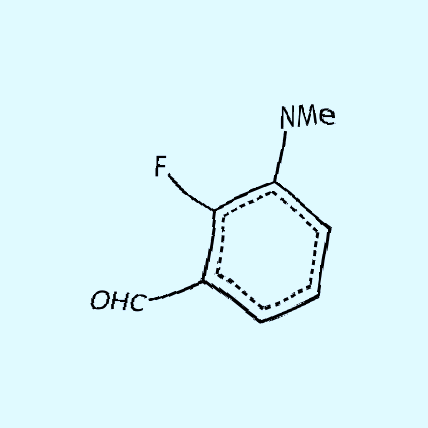 CNc1cccc(C=O)c1F